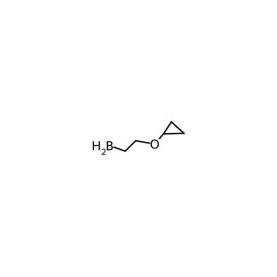 BCCOC1CC1